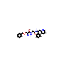 NC(COCc1ccccc1)C(=O)NCC(=O)NC(Cc1ccccn1)c1ccccc1